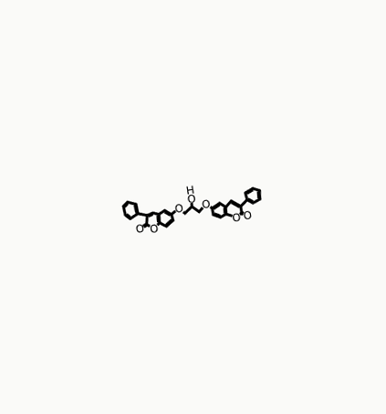 O=c1oc2ccc(OCC(O)COc3ccc4oc(=O)c(-c5ccccc5)cc4c3)cc2cc1-c1ccccc1